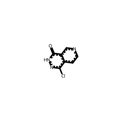 O=c1[nH]nc(Cl)c2ccncc12